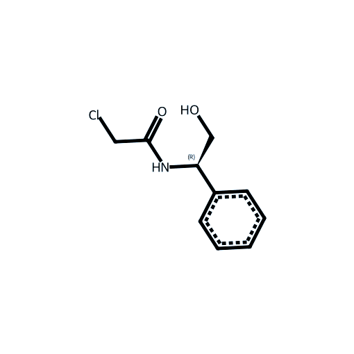 O=C(CCl)N[C@@H](CO)c1ccccc1